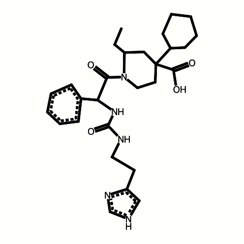 CCC1CC(C(=O)O)(C2CCCCC2)CCN1C(=O)C(NC(=O)NCCc1c[nH]cn1)c1ccccc1